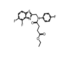 CCOC(=O)CCC(=O)N(Cc1nc2c(F)c(F)ccc2s1)c1ccc(F)cc1